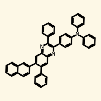 c1ccc(-c2cc3nc(-c4ccc(N(c5ccccc5)c5ccccc5)cc4)c(-c4ccccc4)nc3cc2-c2ccc3ccccc3c2)cc1